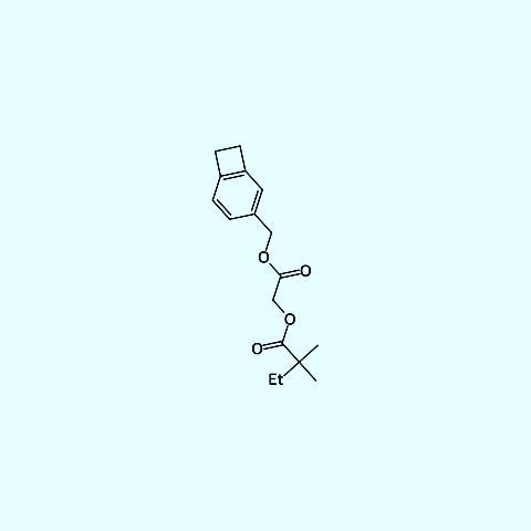 CCC(C)(C)C(=O)OCC(=O)OCc1ccc2c(c1)CC2